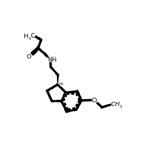 CCOc1ccc2c(c1)[C@H](CCNC(=O)CC)CC2